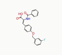 O=C(O)C(=Cc1ccc(OCc2cccc(F)c2)cc1)NC(=O)c1ccccc1